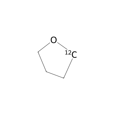 C1C[12CH2]OC1